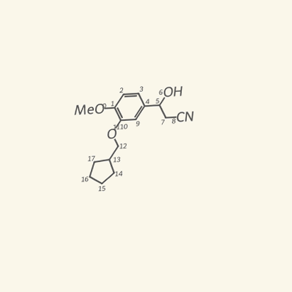 COc1ccc(C(O)CC#N)cc1OCC1CCCC1